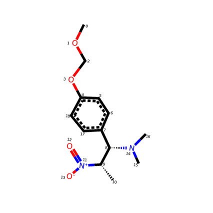 COCOc1ccc([C@@H]([C@H](C)[N+](=O)[O-])N(C)C)cc1